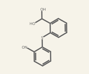 O=Nc1ccccc1Sc1ccccc1C(O)O